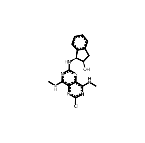 CNc1nc(N[C@H]2c3ccccc3C[C@H]2O)nc2c(NC)nc(Cl)nc12